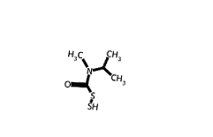 CC(C)N(C)C(=O)SS